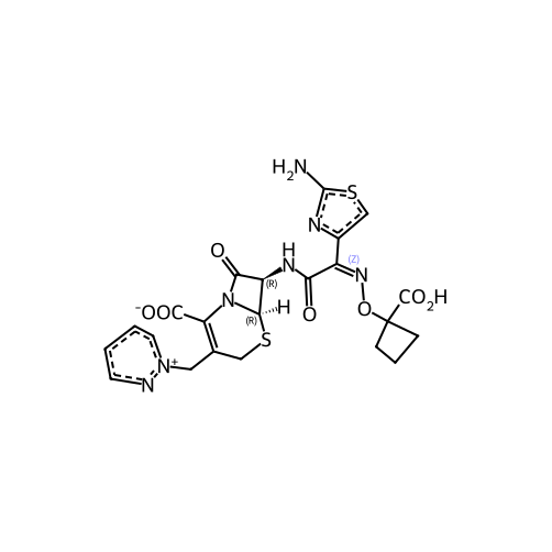 Nc1nc(/C(=N/OC2(C(=O)O)CCC2)C(=O)N[C@@H]2C(=O)N3C(C(=O)[O-])=C(C[n+]4ccccn4)CS[C@H]23)cs1